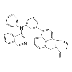 C=CC1=C(/C=C\C)c2ccc(-c3cccc(N(c4ccccc4)c4cncc5ccccc45)c3)c3cccc(c23)C1